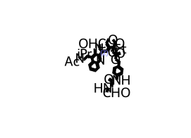 CC[C@@]1(OC(=O)OCc2ccc(NC(=O)CNC=O)cc2)C(=O)OCC(C=O)=C1/C=C1/c2nc3ccccc3c(CCN(C(C)=O)C(C)C)c2CN1C